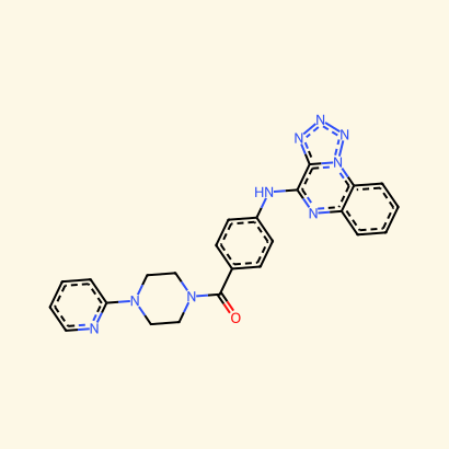 O=C(c1ccc(Nc2nc3ccccc3n3nnnc23)cc1)N1CCN(c2ccccn2)CC1